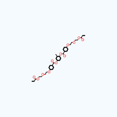 C=CC(=O)OCCOCCOc1ccc(C(=O)Oc2ccc(OC(=O)c3ccc(OCCOCCOC(=O)C=C)cc3)c(C)c2)cc1